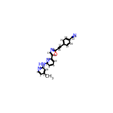 Cc1ccnc(Nc2cccc(-c3cnc(C#Cc4ccc(C#N)cc4)o3)n2)c1